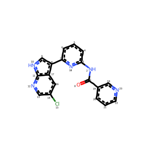 O=C(Nc1cccc(-c2c[nH]c3ncc(Cl)cc23)n1)c1cccnc1